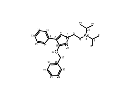 CC(C)[As](CCn1cc(-c2ccccc2)c(OCc2ccccc2)n1)C(C)C